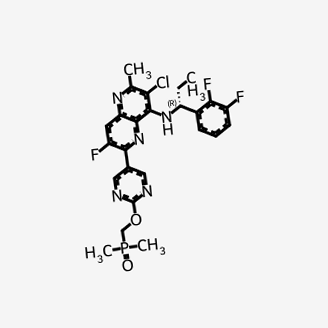 CC[C@@H](Nc1c(Cl)c(C)nc2cc(F)c(-c3cnc(OCP(C)(C)=O)nc3)nc12)c1cccc(F)c1F